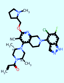 C=CC(=O)N1C[C@H](C)N(c2c(C#N)c(OCC3CCCN3C)nc3c2CCN(c2c(Cl)c(F)cc4[nH]ncc24)C3)C[C@H]1C